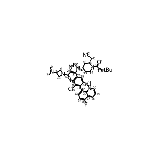 CN(C)C1CN(c2nc3c(Cl)c(-c4ccc(F)c5cccnc45)c(Cl)cc3c3c2nnn3[C@H]2CCN(C(=O)OC(C)(C)C)[C@H](CC#N)C2)C1